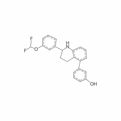 Oc1cccc(-c2cccc3c2CCC(c2cccc(OC(F)F)c2)N3)c1